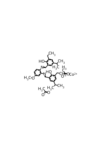 CC(=O)[O-].CC(=O)[O-].CCc1cc(C(C)C)cc(C=Nc2ccc(OC)cc2N=Cc2cc(C(C)C)cc(CC)c2O)c1O.[Co+2]